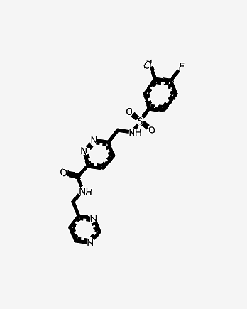 O=C(NCc1ccncn1)c1ccc(CNS(=O)(=O)c2ccc(F)c(Cl)c2)nn1